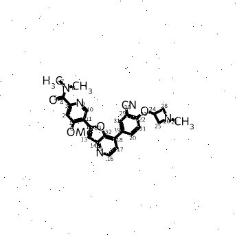 COc1cc(C(=O)N(C)C)ncc1-c1cc2nccc(-c3ccc(OC4CN(C)C4)c(C#N)c3)c2o1